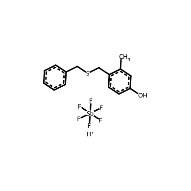 Cc1cc(O)ccc1CSCc1ccccc1.[F][Sb-]([F])([F])([F])([F])[F].[H+]